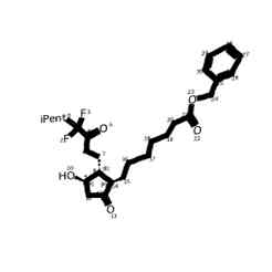 CCCC(C)C(F)(F)C(=O)CC[C@H]1[C@H](O)CC(=O)[C@@H]1CCCCCCC(=O)OCc1ccccc1